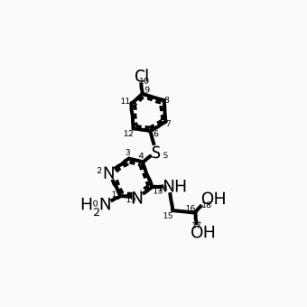 Nc1ncc(Sc2ccc(Cl)cc2)c(NCC(O)O)n1